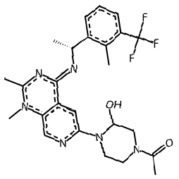 CC(=O)N1CCN(c2cc3/c(=N/[C@H](C)c4cccc(C(F)(F)F)c4C)nc(C)n(C)c3cn2)C(O)C1